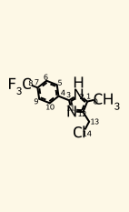 Cc1[nH]c(-c2ccc(C(F)(F)F)cc2)nc1CCl